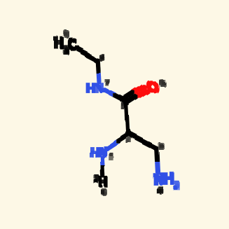 [2H]NC(CN)C(=O)NCC